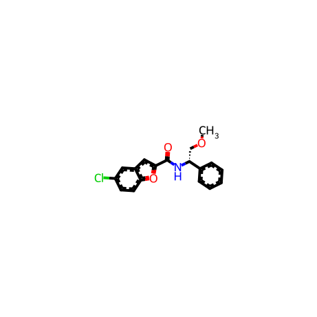 COC[C@@H](NC(=O)c1cc2cc(Cl)ccc2o1)c1ccccc1